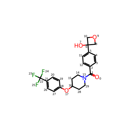 O=C(c1ccc(C2(O)COC2)cc1)N1CCC(Oc2ccc(C(F)(F)F)cc2)CC1